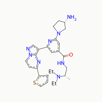 CCN(CC)[C@@H](C)CNC(=O)c1cc(-c2cnn3ccc(-c4cccs4)nc23)nc(N2CC[C@H](N)C2)c1